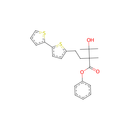 CC(C)(O)C(C)(CCc1ccc(-c2cccs2)s1)C(=O)Oc1ccccc1